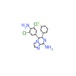 Nc1c(Cl)cc(-c2c(-c3cccc(F)c3)nc(N)c3nccn23)cc1Cl